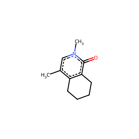 Cc1cn(C)c(=O)c2c1CCCC2